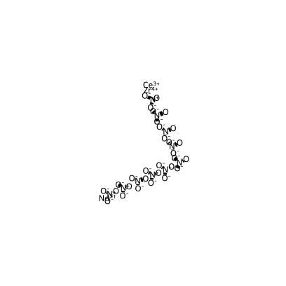 O=[N+]([O-])[O-].O=[N+]([O-])[O-].O=[N+]([O-])[O-].O=[N+]([O-])[O-].O=[N+]([O-])[O-].O=[N+]([O-])[O-].O=[N+]([O-])[O-].O=[N+]([O-])[O-].O=[N+]([O-])[O-].O=[N+]([O-])[O-].[Ce+3].[Nd+3].[Zr+4]